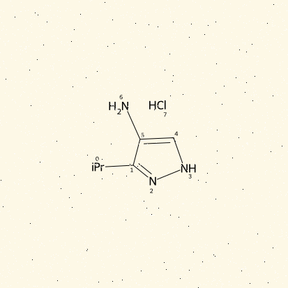 CC(C)c1n[nH]cc1N.Cl